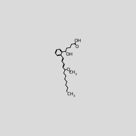 CCCCCCCCC(/C=C/C=C/c1ccccc1C(O)CCCC(=O)O)OC